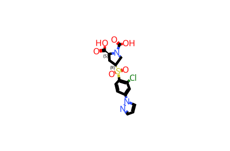 O=C(O)[C@@H]1C[C@@H](S(=O)(=O)c2ccc(-n3cccn3)cc2Cl)CN1C(=O)O